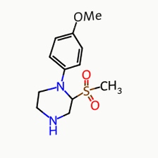 COc1ccc(N2CCNCC2S(C)(=O)=O)cc1